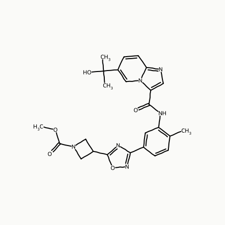 COC(=O)N1CC(c2nc(-c3ccc(C)c(NC(=O)c4cnc5ccc(C(C)(C)O)cn45)c3)no2)C1